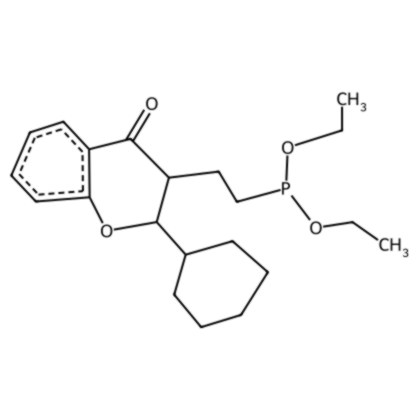 CCOP(CCC1C(=O)c2ccccc2OC1C1CCCCC1)OCC